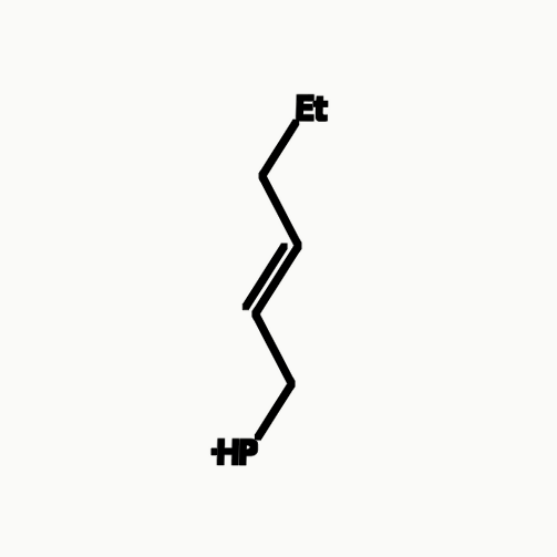 CCC/C=C/C[PH]